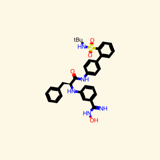 CC(C)(C)NS(=O)(=O)c1ccccc1-c1ccc(NC(=O)[C@H](Cc2ccccc2)Nc2cccc(C(=N)NO)c2)cc1